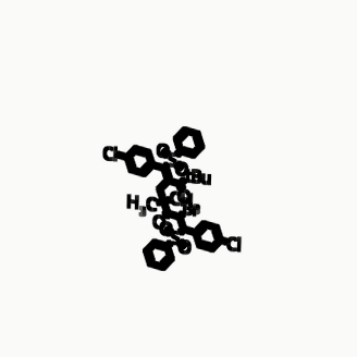 CC(C)(C)C(=O)C(CC(C)(C)C(=O)C(Br)C(c1ccc(Cl)cc1)S(=O)(=O)c1ccccc1)=C(c1ccc(Cl)cc1)S(=O)(=O)c1ccccc1